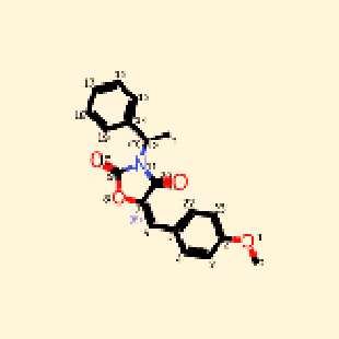 COc1ccc(/C=C2/OC(=O)N([C@H](C)c3ccccc3)C2=O)cc1